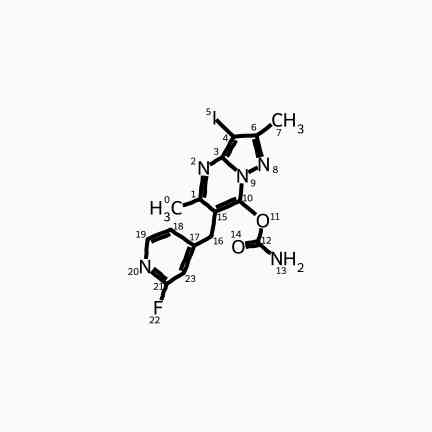 Cc1nc2c(I)c(C)nn2c(OC(N)=O)c1Cc1ccnc(F)c1